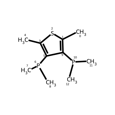 Cc1sc(C)c(P(C)C)c1P(C)C